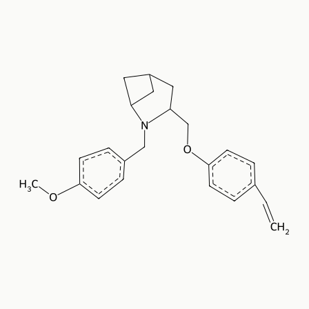 C=Cc1ccc(OCC2CC3CC(C3)N2Cc2ccc(OC)cc2)cc1